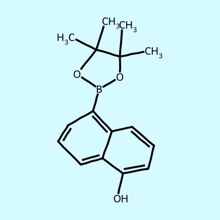 CC1(C)OB(c2cccc3c(O)cccc23)OC1(C)C